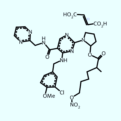 COc1ccc(CNc2nc(N3CCCC3OC(=O)C(C)CCCCO[N+](=O)[O-])ncc2C(=O)NCc2ncccn2)cc1Cl.O=C(O)/C=C/C(=O)O